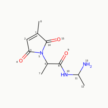 CC1=CC(=O)N(C(C)C(=O)NC(C)N)C1=O